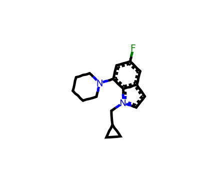 Fc1cc(N2CCCCC2)c2c(ccn2CC2CC2)c1